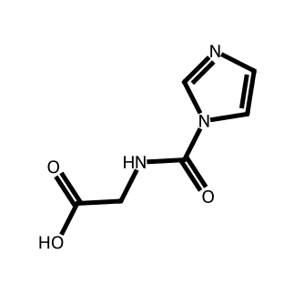 O=C(O)CNC(=O)n1ccnc1